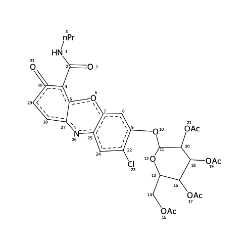 CCCNC(=O)c1c2oc3cc(OC4OC(COC(C)=O)C(OC(C)=O)C(OC(C)=O)C4OC(C)=O)c(Cl)cc3nc-2ccc1=O